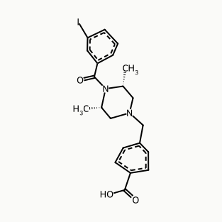 C[C@@H]1CN(Cc2ccc(C(=O)O)cc2)C[C@H](C)N1C(=O)c1cccc(I)c1